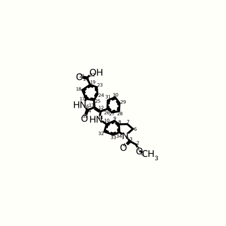 COCC(=O)N1CCc2cc(N/C(=C3\C(=O)Nc4cc(C(=O)O)ccc43)c3ccccc3)ccc21